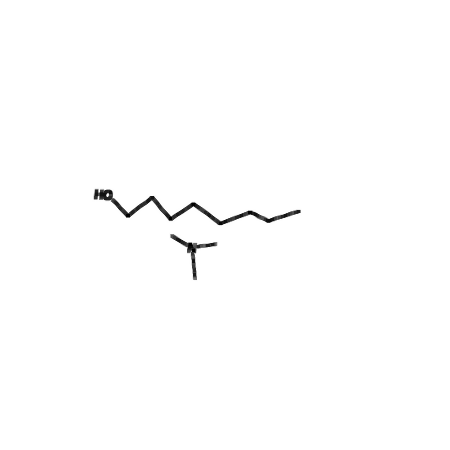 CCCCCCCCO.CN(C)C